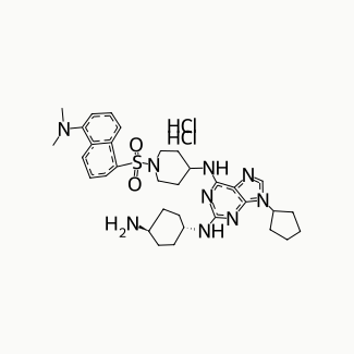 CN(C)c1cccc2c(S(=O)(=O)N3CCC(Nc4nc(N[C@H]5CC[C@H](N)CC5)nc5c4ncn5C4CCCC4)CC3)cccc12.Cl.Cl